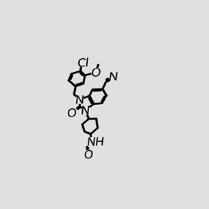 COc1cc(Cn2c(=O)n(C3CCC(NC=O)CC3)c3ccc(C#N)cc32)ccc1Cl